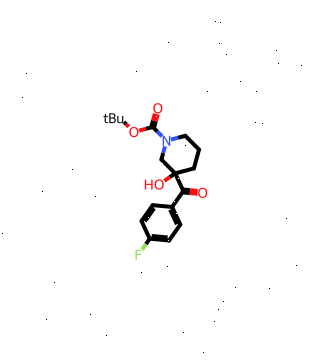 CC(C)(C)OC(=O)N1CCCC(O)(C(=O)c2ccc(F)cc2)C1